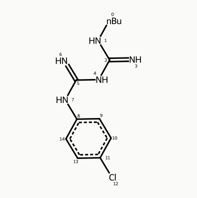 CCCCNC(=N)NC(=N)Nc1ccc(Cl)cc1